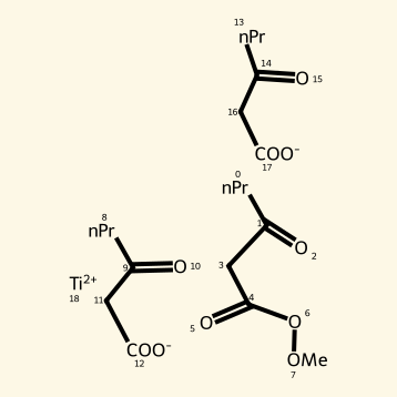 CCCC(=O)CC(=O)OOC.CCCC(=O)CC(=O)[O-].CCCC(=O)CC(=O)[O-].[Ti+2]